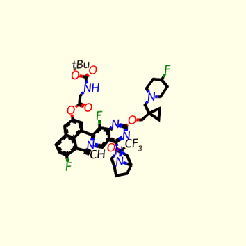 C#Cc1c(F)ccc2cc(OC(=O)CNC(=O)OC(C)(C)C)cc(-c3ncc4c(N5CC6CCC(C5)N6C(=O)C(F)(F)F)nc(OCC5(CN6CCC(F)CC6)CC5)nc4c3F)c12